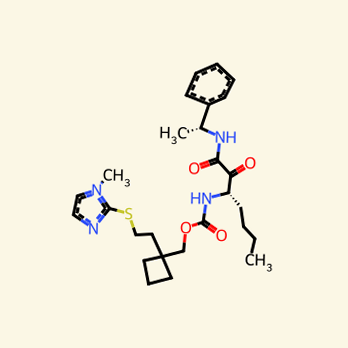 CCCC[C@H](NC(=O)OCC1(CCSc2nccn2C)CCC1)C(=O)C(=O)N[C@H](C)c1ccccc1